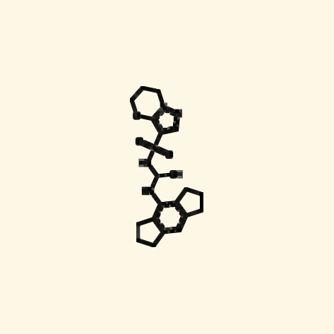 O=S(=O)(NC(O)Nc1c2c(cc3c1CCC3)CCC2)c1cnn2c1OCCC2